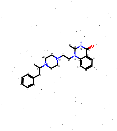 CC(Cc1ccccc1)N1CCN(CCN2c3ccccc3C(=O)NC2C)CC1